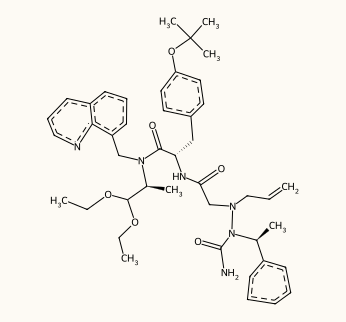 C=CCN(CC(=O)N[C@@H](Cc1ccc(OC(C)(C)C)cc1)C(=O)N(Cc1cccc2cccnc12)[C@@H](C)C(OCC)OCC)N(C(N)=O)[C@@H](C)c1ccccc1